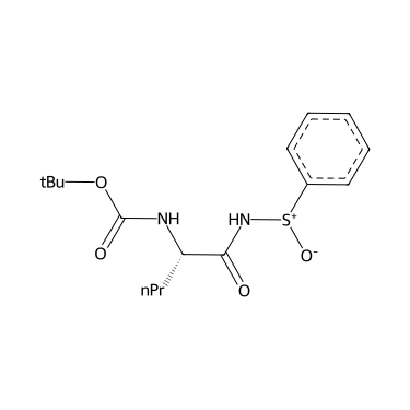 CCC[C@H](NC(=O)OC(C)(C)C)C(=O)N[S+]([O-])c1ccccc1